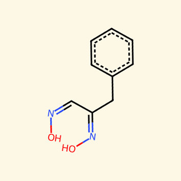 O/N=C\C(Cc1ccccc1)=N/O